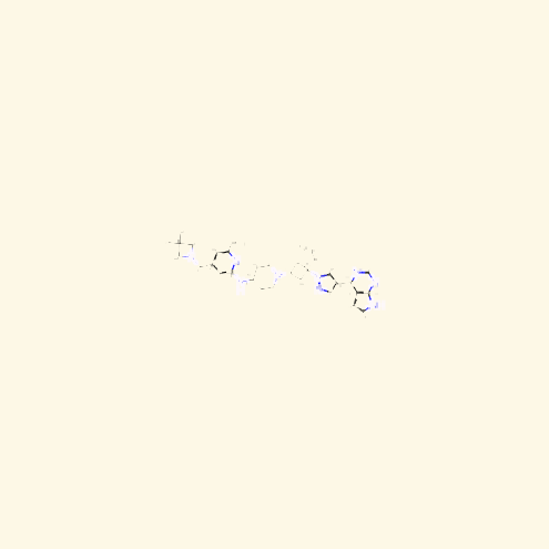 CC1(C)CN(Cc2cc(NC3CCN([C@H]4C[C@](CC#N)(n5cc(-c6ncnc7[nH]ccc67)cn5)C4)CC3)nc(C(F)(F)F)c2)C1